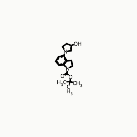 CC(C)(C)OC(=O)N1CCc2c(N3CCC(O)C3)cccc21